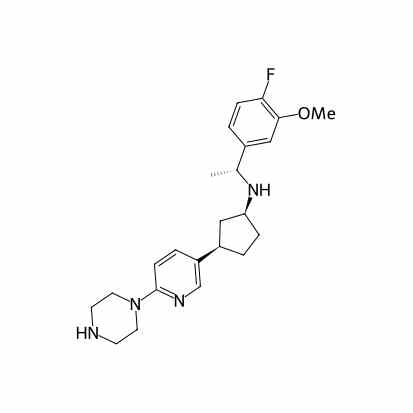 COc1cc([C@@H](C)N[C@H]2CC[C@@H](c3ccc(N4CCNCC4)nc3)C2)ccc1F